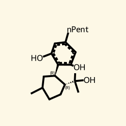 CCCCCc1cc(O)c([C@@H]2CC(C)CC[C@H]2C(C)(C)O)c(O)c1